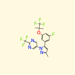 Cc1cc(-c2cc(F)cc(OC(C)(C)C(F)(F)F)c2)n(-c2cnc(C(F)(F)F)nc2)n1